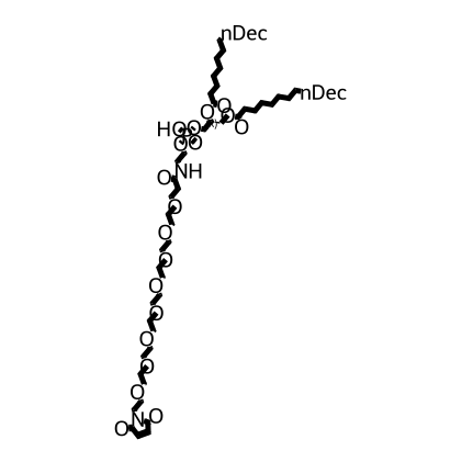 CCCCCCCCCCCCCCCCCC(=O)OC[C@H](COP(=O)(O)OCCNC(=O)CCOCCOCCOCCOCCOCCOCCOCCOCCN1C(=O)C=CC1=O)OC(=O)CCCCCCCCCCCCCCCCC